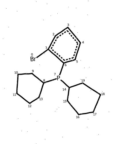 Brc1ccccc1P(C1CCCCC1)C1CCCCC1